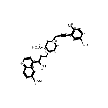 COc1ccc2nccc(C(O)CC[C@@H]3CCN(CC#Cc4cc(C(F)(F)F)ccc4Cl)C[C@@H]3C(=O)O)c2c1